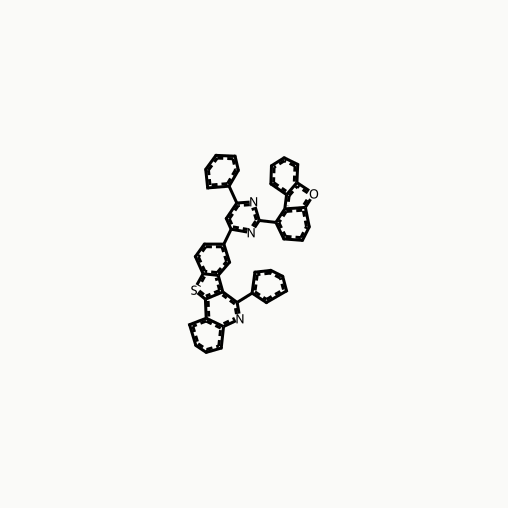 c1ccc(-c2cc(-c3ccc4sc5c6ccccc6nc(-c6ccccc6)c5c4c3)nc(-c3cccc4oc5ccccc5c34)n2)cc1